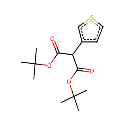 CC(C)(C)OC(=O)C(C(=O)OC(C)(C)C)c1ccsc1